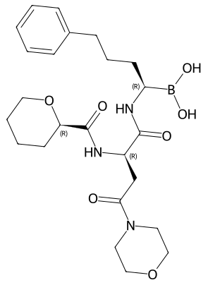 O=C(N[C@@H](CCCc1ccccc1)B(O)O)[C@@H](CC(=O)N1CCOCC1)NC(=O)[C@H]1CCCCO1